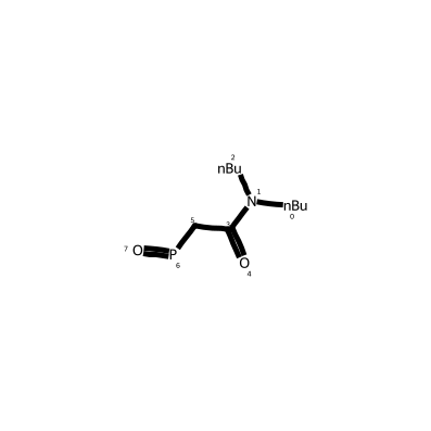 CCCCN(CCCC)C(=O)CP=O